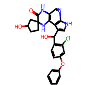 O=C1Nc2cnc3[nH]cc(C(O)c4ccc(Oc5ccccc5)cc4Cl)c3c2NC12CCC(O)C2